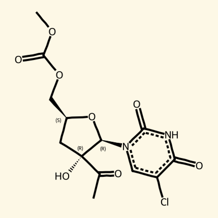 COC(=O)OC[C@@H]1C[C@](O)(C(C)=O)[C@H](n2cc(Cl)c(=O)[nH]c2=O)O1